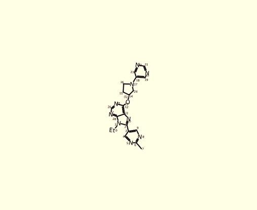 CCn1c(-c2cnc(C)nc2)nc2c(O[C@H]3CCN(c4cncnc4)C3)ncnc21